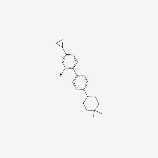 CC1(C)CCC(c2ccc(-c3ccc(C4CC4)cc3F)cc2)CC1